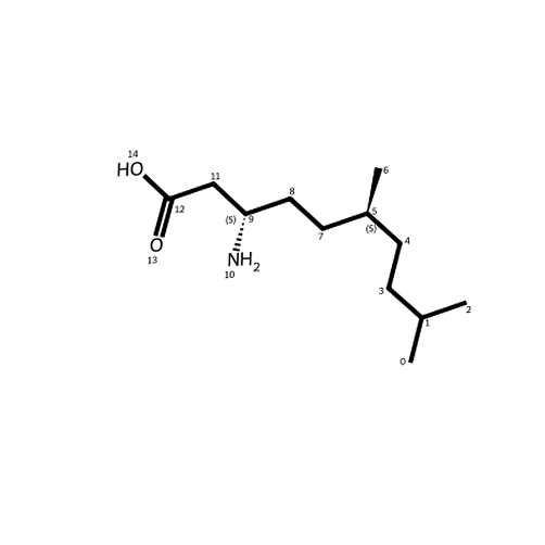 CC(C)CC[C@H](C)CC[C@H](N)CC(=O)O